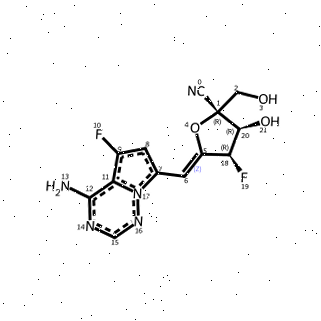 N#C[C@]1(CO)O/C(=C\c2cc(F)c3c(N)ncnn23)[C@H](F)[C@@H]1O